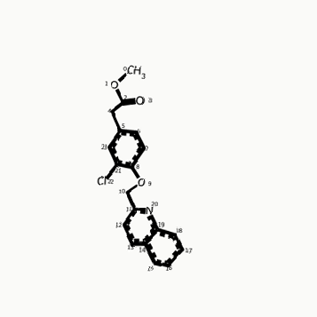 COC(=O)Cc1ccc(OCc2ccc3ccccc3n2)c(Cl)c1